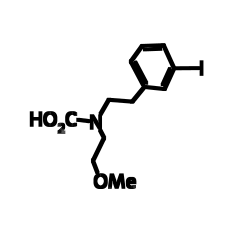 COCCN(CCc1cccc(I)c1)C(=O)O